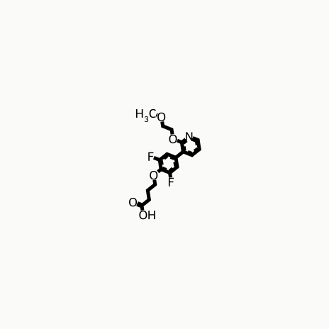 COCCOc1ncccc1-c1cc(F)c(OCCCC(=O)O)c(F)c1